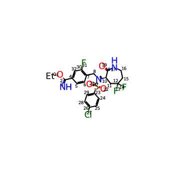 CCOC(=N)c1ccc(CN([C@@H]2CC(F)(F)CCNC2=O)S(=O)(=O)c2ccc(Cl)cc2)c(F)c1